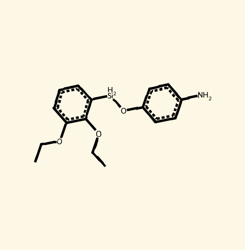 CCOc1cccc([SiH2]Oc2ccc(N)cc2)c1OCC